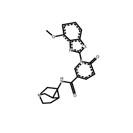 COc1cccc2sc(-n3cc(C(=O)NC4CN5CCC4CC5)ccc3=O)nc12